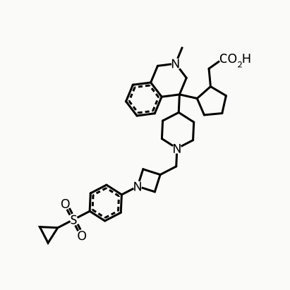 CN1Cc2ccccc2C(C2CCN(CC3CN(c4ccc(S(=O)(=O)C5CC5)cc4)C3)CC2)(C2CCCC2CC(=O)O)C1